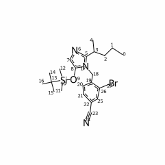 CCCC(C)c1ncc(O[Si](C)(C)C(C)(C)C)n1Cc1ccc(C#N)cc1Br